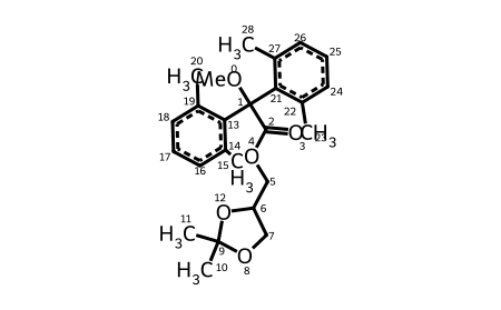 COC(C(=O)OCC1COC(C)(C)O1)(c1c(C)cccc1C)c1c(C)cccc1C